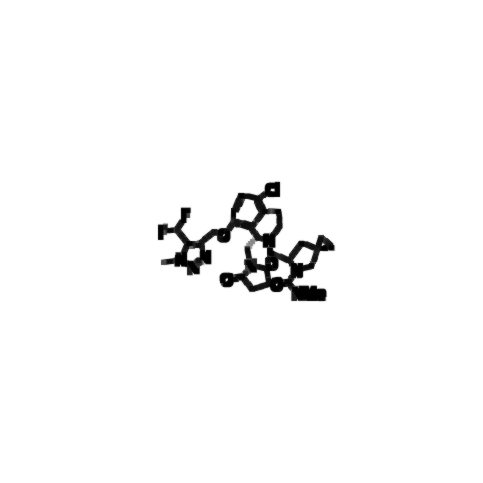 CNC(=O)N1CC2(CC2)CC1C(=O)N1CCc2c(Cl)ccc(OCc3nnn(C)c3C(F)F)c2[C@H]1CN1CCCC1=O